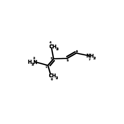 CC(N)=C(C)C=CN